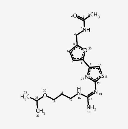 CC(=O)NCc1ccc(-c2csc(N=C(N)NCCCOC(C)C)n2)o1